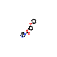 O=C(Oc1cccc(Oc2ccccc2)c1)N1CCN2CCC1CC2